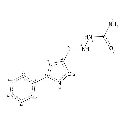 NC(=O)NNCc1cc(-c2ccccc2)no1